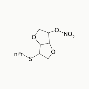 CCCSC1COC2C(O[N+](=O)[O-])COC12